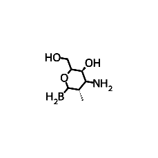 BC1OC(CO)[C@@H](O)C(N)[C@@H]1C